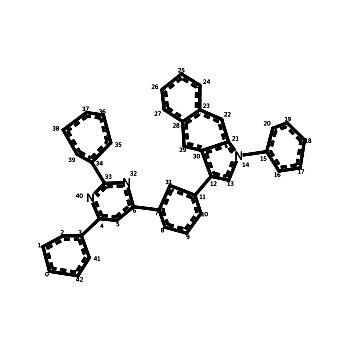 c1ccc(-c2cc(-c3cccc(-c4cn(-c5ccccc5)c5cc6ccccc6cc45)c3)nc(-c3ccccc3)n2)cc1